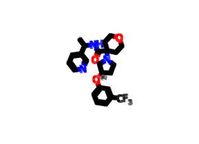 CC(NC(=O)C1(N2CC[C@@H](Oc3cccc(C(F)(F)F)c3)C2)CCOCC1)c1cccnc1